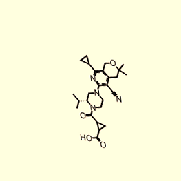 CC(C)[C@@H]1CN(c2nc(C3CC3)c3c(c2C#N)CC(C)(C)OC3)CCN1C(=O)C1CC1C(=O)O